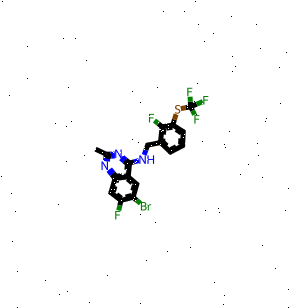 Cc1nc(NCc2cccc(SC(F)(F)F)c2F)c2cc(Br)c(F)cc2n1